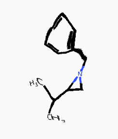 CC(C)C1CN1Cc1ccccc1